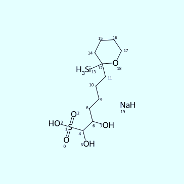 O=S(=O)(O)C(O)C(O)CCCCC1([SiH3])CCCCO1.[NaH]